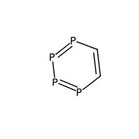 c1cpppp1